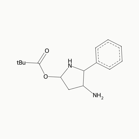 CC(C)(C)C(=O)OC1CC(N)C(c2ccccc2)N1